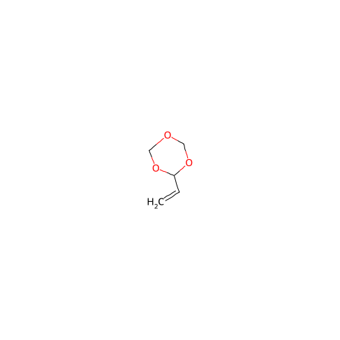 C=CC1OCOCO1